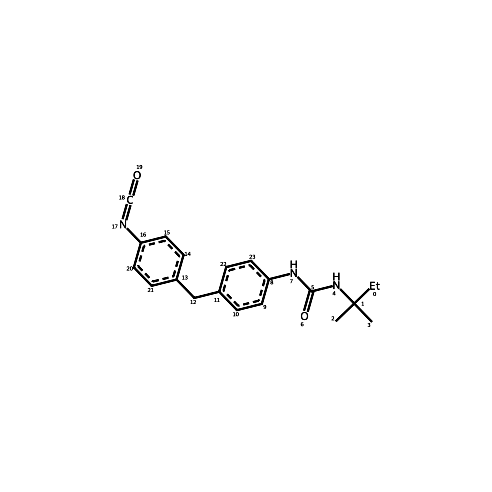 CCC(C)(C)NC(=O)Nc1ccc(Cc2ccc(N=C=O)cc2)cc1